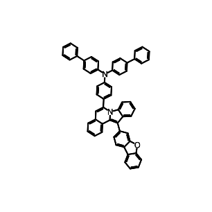 c1ccc(-c2ccc(N(c3ccc(-c4ccccc4)cc3)c3ccc(-c4cc5ccccc5c5c(-c6ccc7c(c6)oc6ccccc67)c6ccccc6n45)cc3)cc2)cc1